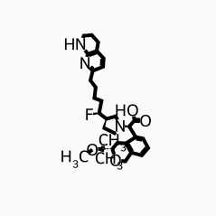 COC(C)(C)[C@@H]1Cc2c(cccc2[C@H](C(=O)O)N2CC[C@@H]([C@@H](F)CCCCc3ccc4c(n3)NCCC4)C2)CO1